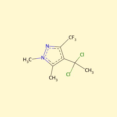 Cc1c(C(C)(Cl)Cl)c(C(F)(F)F)nn1C